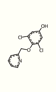 Oc1cc(Cl)c(OCc2ccccn2)c(Cl)c1